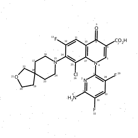 Nc1nc(-n2cc(C(=O)O)c(=O)c3cc(F)c(N4CCC5(CCOC5)CC4)c(Cl)c32)c(F)cc1F